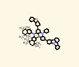 CC1(C)CCC(C)(C)c2cc(N3c4cc5c(cc4B4c6ccc(-c7ccc8c(c7)c7cccc9c%10ccccc%10n8c97)cc6N(c6ccccc6)c6cc(-c7ccc8oc9ccccc9c8c7)cc3c64)C(C)(C)CCC5(C)C)ccc21